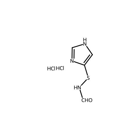 Cl.Cl.O=CNSc1c[nH]cn1